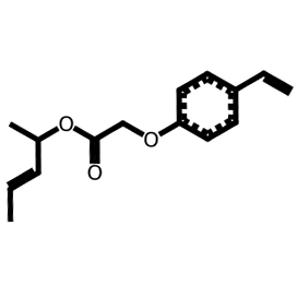 C=Cc1ccc(OCC(=O)OC(C)C=CC)cc1